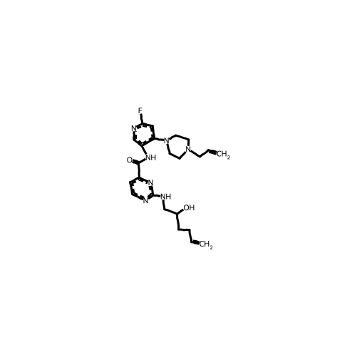 C=CCCC(O)CNc1nccc(C(=O)Nc2cnc(F)cc2N2CCN(CC=C)CC2)n1